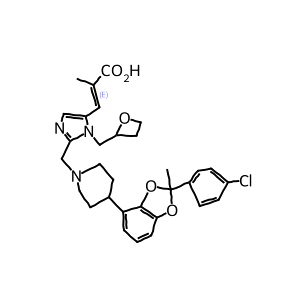 C/C(=C\c1cnc(CN2CCC(c3cccc4c3OC(C)(c3ccc(Cl)cc3)O4)CC2)n1CC1CCO1)C(=O)O